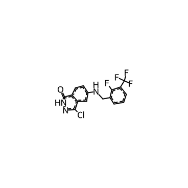 O=c1[nH]nc(Cl)c2cc(NCc3cccc(C(F)(F)F)c3F)ccc12